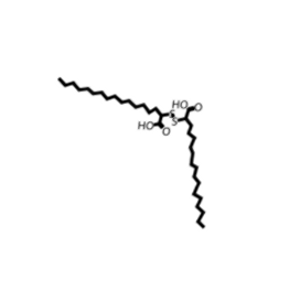 CCCCCCCCCCCCCCCC(SSC(CCCCCCCCCCCCCCC)C(=O)O)C(=O)O